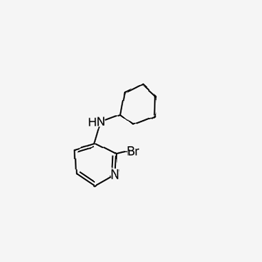 Brc1ncccc1NC1CCCCC1